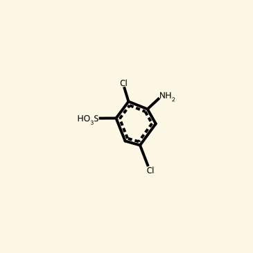 Nc1cc(Cl)cc(S(=O)(=O)O)c1Cl